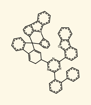 C1=C2C(=CC(c3nc(-c4ccccc4-c4ccccc4)nc(-c4cccc5c4oc4ccccc45)n3)C1)C1(c3ccccc32)c2ccccc2-n2c3ccccc3c3cccc1c32